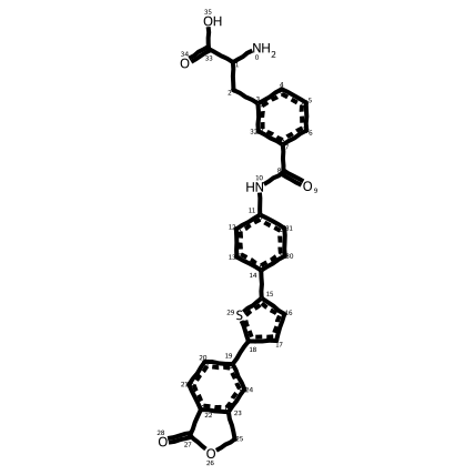 NC(Cc1cccc(C(=O)Nc2ccc(-c3ccc(-c4ccc5c(c4)COC5=O)s3)cc2)c1)C(=O)O